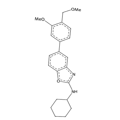 COCc1ccc(-c2ccc3oc(NC4CCCCC4)nc3c2)cc1OC